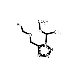 CC(=O)COCc1nnnn1C(C)OC(=O)O